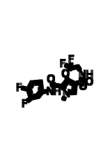 Cn1cc2c(c1C(=O)Nc1ccc(F)c(F)c1)OC(F)(F)CNS2(=O)=O